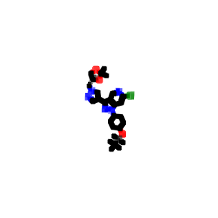 CC1(C)OC[C@@H](Cn2cc(-c3nn(C4CCC(O[Si](C)(C)C(C)(C)C)CC4)c4cc(Cl)ncc34)cn2)O1